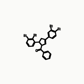 CCc1ccc(C2=CC(C(=O)c3ccccc3)C(c3cccc(CC)c3CC)C2)cc1CC